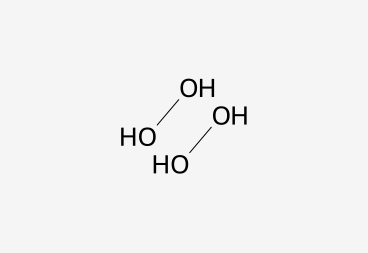 OO.OO